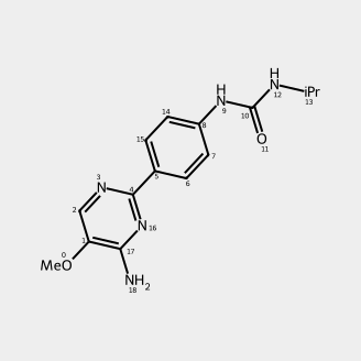 COc1cnc(-c2ccc(NC(=O)NC(C)C)cc2)nc1N